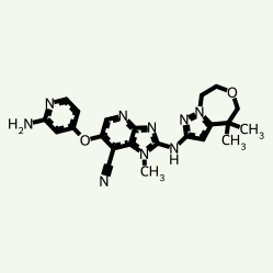 Cn1c(Nc2cc3n(n2)CCOCC3(C)C)nc2ncc(Oc3ccnc(N)c3)c(C#N)c21